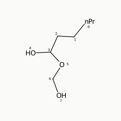 CCCCCC(O)OCO